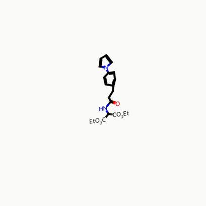 CCOC(=O)C(NC(=O)CCc1ccc(-n2cccc2)cc1)C(=O)OCC